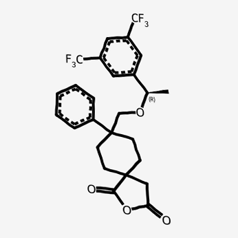 C[C@@H](OCC1(c2ccccc2)CCC2(CC1)CC(=O)OC2=O)c1cc(C(F)(F)F)cc(C(F)(F)F)c1